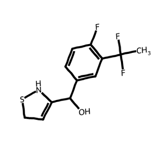 CC(F)(F)c1cc(C(O)C2=CCSN2)ccc1F